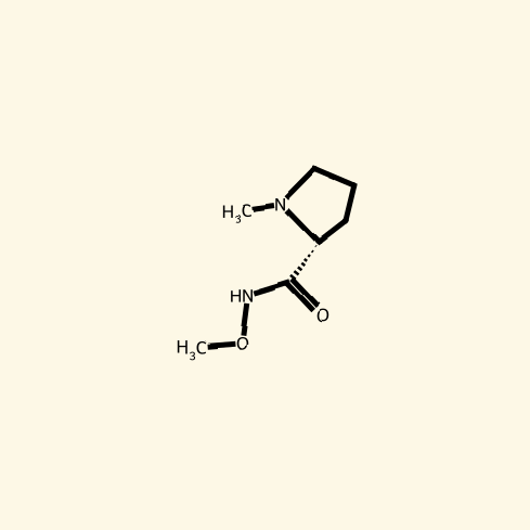 CONC(=O)[C@H]1CCCN1C